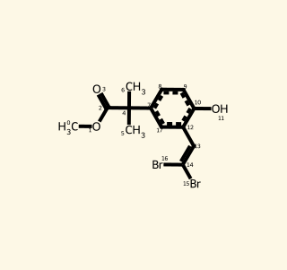 COC(=O)C(C)(C)c1ccc(O)c(C=C(Br)Br)c1